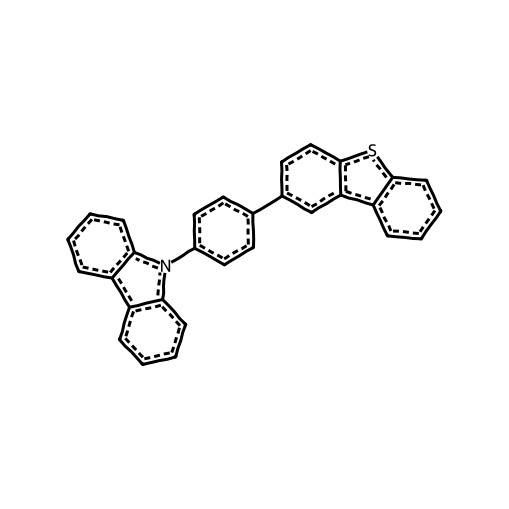 c1ccc2c(c1)sc1ccc(-c3ccc(-n4c5ccccc5c5ccccc54)cc3)cc12